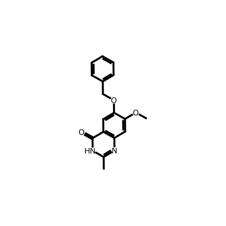 COc1cc2nc(C)[nH]c(=O)c2cc1OCc1ccccc1